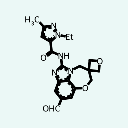 CCn1nc(C)cc1C(=O)Nc1nc2cc(C=O)cc3c2n1CC1(COC1)CO3